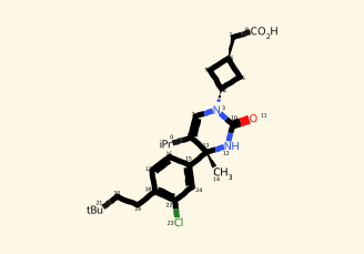 CC(C)C1=CN([C@H]2C[C@H](CC(=O)O)C2)C(=O)N[C@]1(C)c1ccc(CCC(C)(C)C)c(Cl)c1